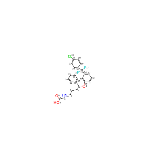 O=C(O)CNCCCC(Oc1cccc(C(F)(F)c2ccc(Cl)cc2)c1)c1ccccc1